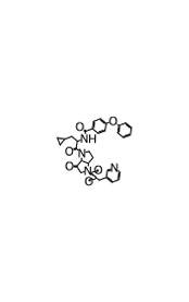 O=C(NC(CC1CC1)C(=O)N1CCC2C1C(=O)CN2S(=O)(=O)Cc1cccnc1)c1ccc(Oc2ccccc2)cc1